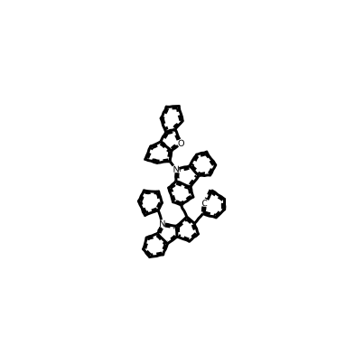 c1ccc(-c2ccc3c4ccccc4n(-c4ccccc4)c3c2-c2ccc3c(c2)c2ccccc2n3-c2cccc3c2oc2ccccc23)cc1